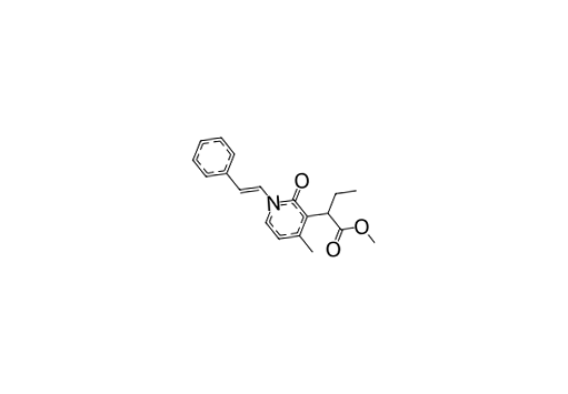 CCC(C(=O)OC)c1c(C)ccn(C=Cc2ccccc2)c1=O